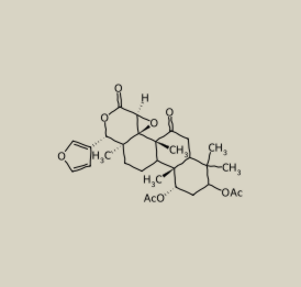 CC(=O)OC1C[C@H](OC(C)=O)[C@@]2(C)C(CC(=O)[C@]3(C)C2CC[C@@]2(C)[C@H](c4ccoc4)OC(=O)[C@H]4O[C@]423)C1(C)C